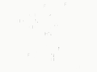 CC(C)(C)N1C[C@@H](C(=O)NCCC[C@H](NC(=O)C2CC(F)(F)C2)c2ccc(Cl)cc2)[C@H](c2ccc(F)cc2F)C1